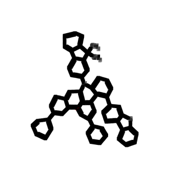 CC1(C)c2ccccc2-c2ccc(N(c3ccc4cc(-c5ccccc5)ccc4c3)c3cccc(-c4ccc5c(c4)sc4ccccc45)c3-c3cccc(-c4ccccc4)c3)cc21